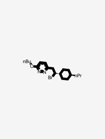 CCCCOc1ccc(CC(Br)[C@H]2CC[C@H](CCC)CC2)nn1